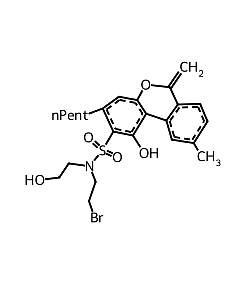 C=C1Oc2cc(CCCCC)c(S(=O)(=O)N(CCO)CCBr)c(O)c2-c2cc(C)ccc21